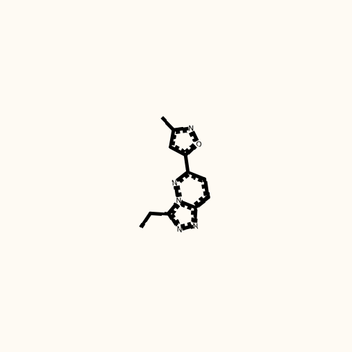 CCc1nnc2ccc(-c3cc(C)no3)nn12